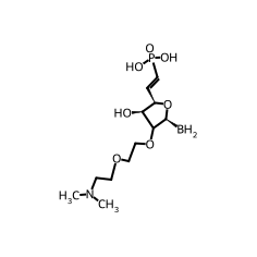 B[C@@H]1O[C@H](/C=C/P(=O)(O)O)[C@H](O)C1OCCOCCN(C)C